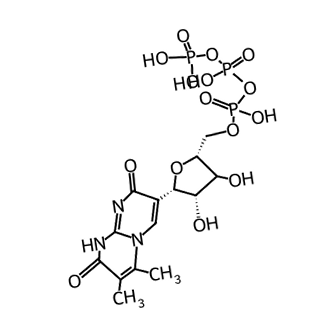 Cc1c(C)n2cc([C@@H]3O[C@H](COP(=O)(O)OP(=O)(O)OP(=O)(O)O)C(O)[C@@H]3O)c(=O)nc2[nH]c1=O